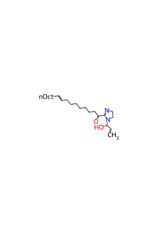 C=CC(O)N1CCN=C1C(=O)CCCCCCCC=CCCCCCCCC